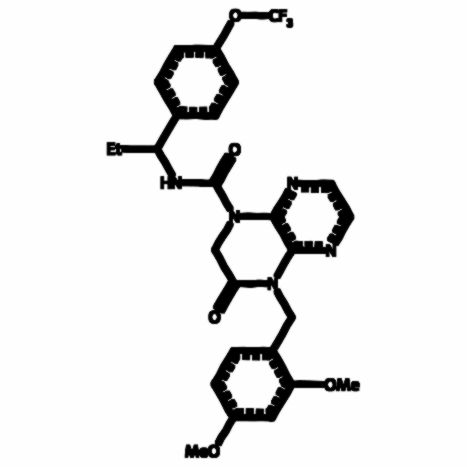 CCC(NC(=O)N1CC(=O)N(Cc2ccc(OC)cc2OC)c2nccnc21)c1ccc(OC(F)(F)F)cc1